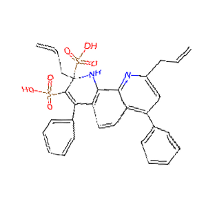 C=CCc1cc(-c2ccccc2)c2ccc3c(c2n1)NC(CC=C)(S(=O)(=O)O)C(S(=O)(=O)O)=C3c1ccccc1